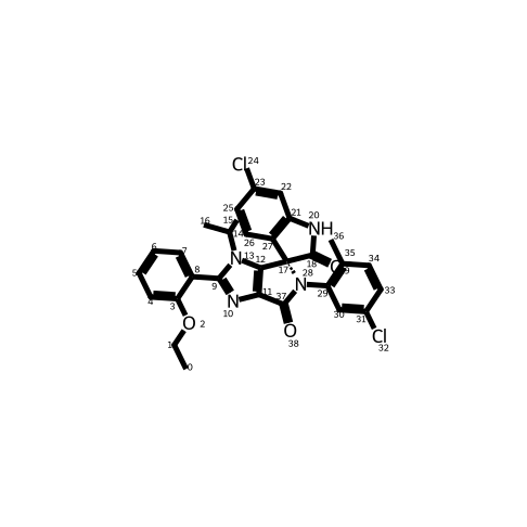 CCOc1ccccc1-c1nc2c(n1C(C)C)[C@@]1(C(=O)Nc3cc(Cl)ccc31)N(c1cc(Cl)ccc1C)C2=O